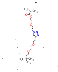 CC(C)C(=O)OCCOCCn1cc(CCOCCOCCC(C)(C)C)nn1